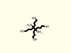 NC(CCCO)(CCCO)C(N)(CCCO)CCCO